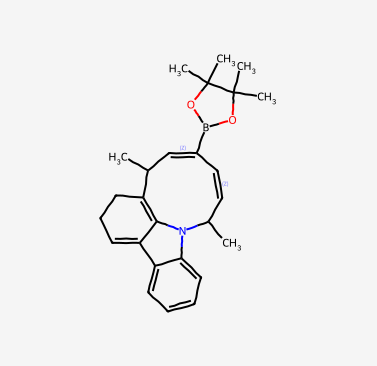 CC1/C=C(B2OC(C)(C)C(C)(C)O2)\C=C/C(C)n2c3c(c4ccccc42)=CCCC=31